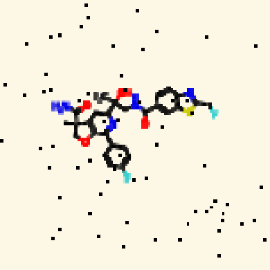 C[C@]1(C(N)=O)COc2c1cc(C(O)(CNC(=O)c1ccc3nc(CF)sc3c1)C(F)(F)F)nc2-c1ccc(F)cc1